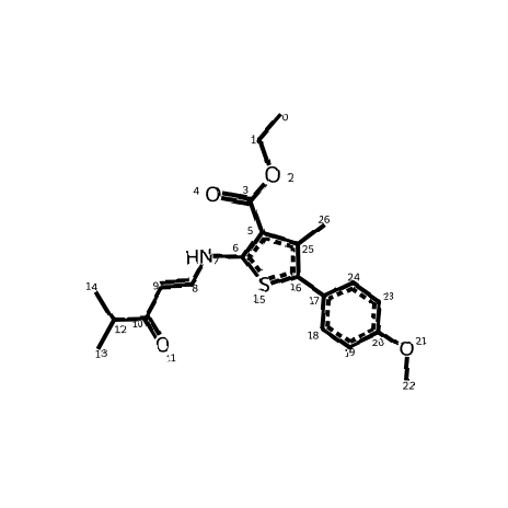 CCOC(=O)c1c(NC=CC(=O)C(C)C)sc(-c2ccc(OC)cc2)c1C